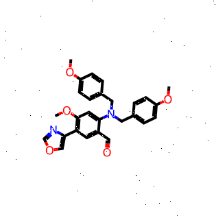 COc1ccc(CN(Cc2ccc(OC)cc2)c2cc(OC)c(-c3cocn3)cc2C=O)cc1